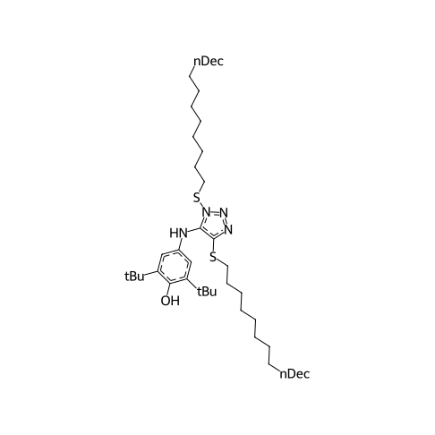 CCCCCCCCCCCCCCCCCCSc1nnn(SCCCCCCCCCCCCCCCCCC)c1Nc1cc(C(C)(C)C)c(O)c(C(C)(C)C)c1